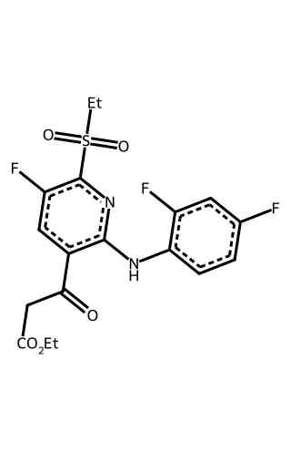 CCOC(=O)CC(=O)c1cc(F)c(S(=O)(=O)CC)nc1Nc1ccc(F)cc1F